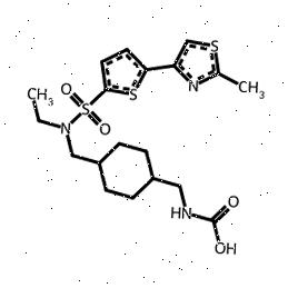 CCN(CC1CCC(CNC(=O)O)CC1)S(=O)(=O)c1ccc(-c2csc(C)n2)s1